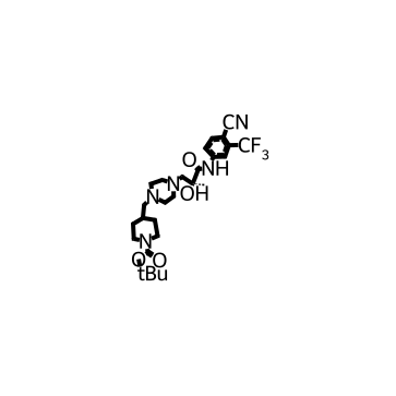 CC(C)(C)OC(=O)N1CCC(CN2CCN(C[C@](C)(O)C(=O)Nc3ccc(C#N)c(C(F)(F)F)c3)CC2)CC1